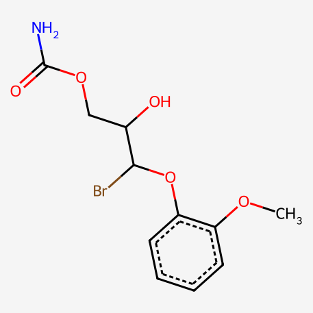 COc1ccccc1OC(Br)C(O)COC(N)=O